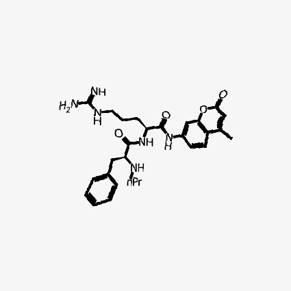 CCCN[C@@H](Cc1ccccc1)C(=O)N[C@@H](CCCNC(=N)N)C(=O)Nc1ccc2c(C)cc(=O)oc2c1